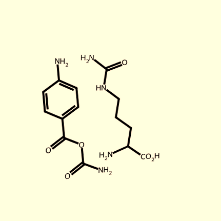 NC(=O)NCCCC(N)C(=O)O.NC(=O)OC(=O)c1ccc(N)cc1